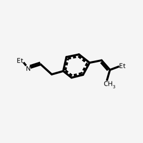 CCN=CCc1ccc(C=C(C)CC)cc1